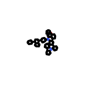 c1ccc(-c2ccc(-c3ccc(N(c4ccccc4)c4ccc(-c5ccccc5-n5c6ccccc6c6ccccc65)cc4-c4cccc5c4Cc4ccccc4-5)cc3)c3ccccc23)cc1